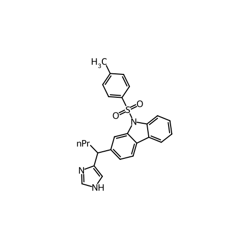 CCCC(c1ccc2c3ccccc3n(S(=O)(=O)c3ccc(C)cc3)c2c1)c1c[nH]cn1